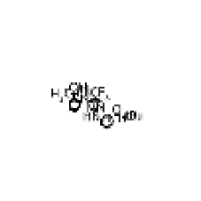 CC(C)(C)OC(=O)N1CCC[C@H](Nc2ncc(C(F)(F)F)c(Nc3ccccc3C(C)(C)O)n2)C1